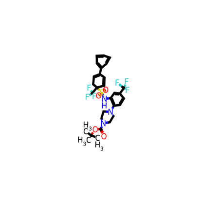 CC(C)(C)OC(=O)N1CCN(c2ccc(C(F)(F)F)cc2NS(=O)(=O)C2(C(F)(F)F)C=CC(c3ccccc3)=CC2)CC1